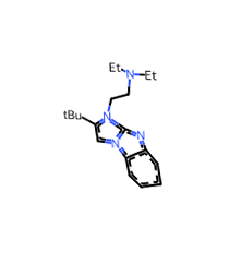 CCN(CC)CCn1c(C(C)(C)C)cn2c3ccccc3nc12